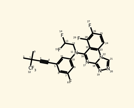 CC(C)(C#Cc1cc(F)cc(N(CC(F)F)c2nc3nncn3c3ccc(F)c(F)c23)c1)C(F)(F)F